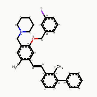 Cc1cc(CN2CCCCC2)c(OCc2cccc(I)c2)cc1/C=C/c1cccc(-c2ccccc2)c1C